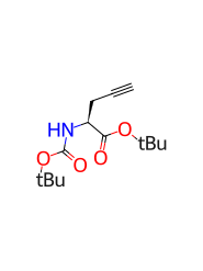 C#CC[C@H](NC(=O)OC(C)(C)C)C(=O)OC(C)(C)C